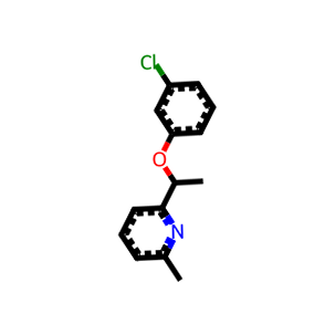 Cc1cccc(C(C)Oc2cccc(Cl)c2)n1